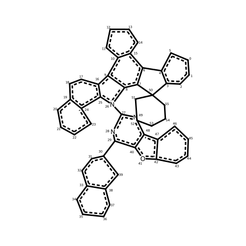 c1ccc2c(c1)-c1c(c3c(c4ccccc14)c1ccc4ccccc4c1n3-c1nc(-c3ccc4ccccc4c3)c3oc4ccccc4c3n1)C21CCCCC1